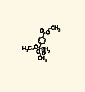 CCOC(=O)c1ccc(C(OCC)(OCC)[PH2]=O)cc1